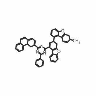 CC1C=Cc2c(oc3cccc(C4C=C(c5nc(C6=CC=C7C=Cc8ccccc8C7C6)nc(-c6ccccc6)n5)c5c(oc6ccccc56)C4)c23)C1